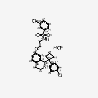 Cl.O=S(=O)(NCCOc1ccc2c(c1)C(C1(c3ccc(Cl)cc3)CCC1)NCC2)c1cccc(Cl)c1